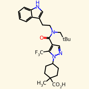 CC(C)(C)CN(CCc1c[nH]c2ccccc12)C(=O)c1cnn(C2CCC(C)(C(=O)O)CC2)c1C(F)(F)F